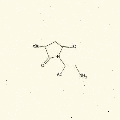 CC(=O)C(CN)N1C(=O)CC(C(C)(C)C)C1=O